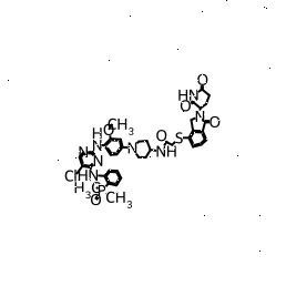 COc1cc(N2CCC(NC(=O)CSc3cccc4c3CN(C3CCC(=O)NC3=O)C4=O)CC2)ccc1Nc1ncc(Cl)c(Nc2ccccc2P(C)(C)=O)n1